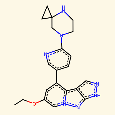 CCOc1cc(-c2ccc(N3CCNC4(CC4)C3)nc2)c2c3cn[nH]c3nn2c1